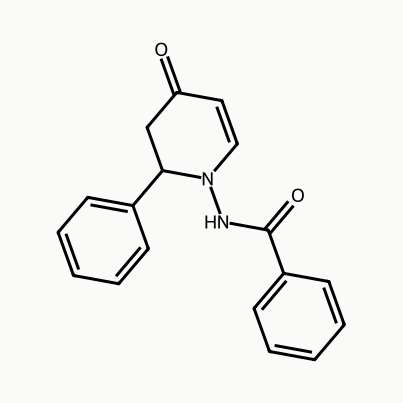 O=C1C=CN(NC(=O)c2ccccc2)C(c2ccccc2)C1